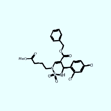 COC(=O)CCCN1C=C(C(=O)OCc2ccccc2)C(c2ccc(Cl)cc2Cl)NS1(=O)=O